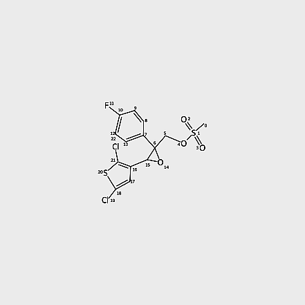 CS(=O)(=O)OCC1(c2ccc(F)cc2)OC1c1cc(Cl)sc1Cl